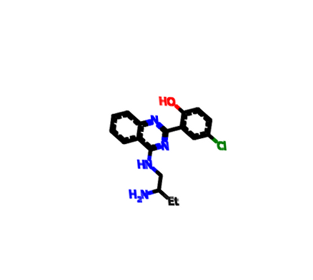 CCC(N)CNc1nc(-c2cc(Cl)ccc2O)nc2ccccc12